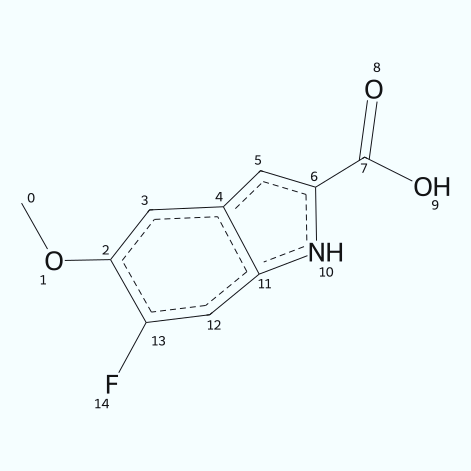 COc1cc2cc(C(=O)O)[nH]c2cc1F